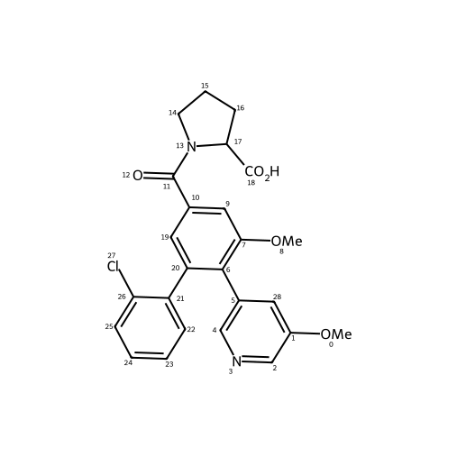 COc1cncc(-c2c(OC)cc(C(=O)N3CCCC3C(=O)O)cc2-c2ccccc2Cl)c1